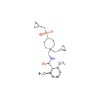 Cc1cccc(C)c1C(=O)NCC1(CC2CC2)CCC(S(=O)(=O)CC2CC2)CC1